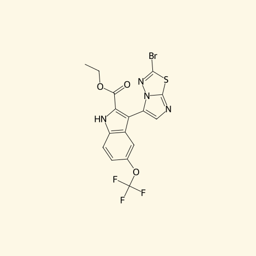 CCOC(=O)c1[nH]c2ccc(OC(F)(F)F)cc2c1-c1cnc2sc(Br)nn12